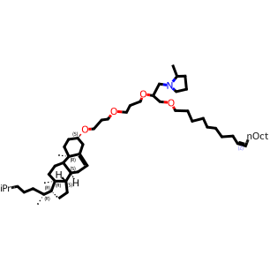 CCCCCCCC/C=C\CCCCCCCCOCC(CN1CCCC1C)OCCCOCCCO[C@H]1CC[C@@]2(C)C(=CC[C@@H]3C2CC[C@]2(C)[C@@H]([C@H](C)CCCC(C)C)CC[C@@H]32)C1